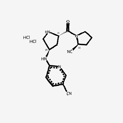 Cl.Cl.N#Cc1ccc(N[C@H]2CN[C@H](C(=O)N3CCC[C@H]3C#N)C2)nc1